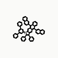 c1ccc(-c2cc(-c3ccccc3)cc(-n3c(-c4ccccc4)c(-c4ccccc4)c4cc5c(-c6ccc7ccccc7c6)c6ccccc6c(-c6ccc7ccccc7c6)c5cc43)c2)cc1